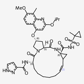 COc1ccc2c(O[C@@H]3C[C@H]4C(=O)N[C@]5(C(=O)NS(=O)(=O)C6(C)CC6)CC5/C=C\CCCCC[C@H](NC(=O)c5cc[nH]n5)C(=O)N4C3)cc(OC(C)C)nc2c1C